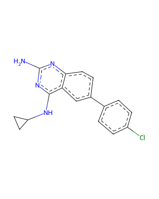 Nc1nc(NC2CC2)c2cc(-c3ccc(Cl)cc3)ccc2n1